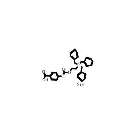 O=C(OCC[PH](Cc1ccccc1)(Cc1ccccc1)Cc1ccccc1)Oc1ccc(C(=O)O)cc1.[NaH]